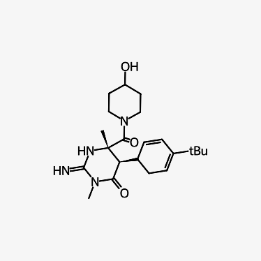 CN1C(=N)N[C@](C)(C(=O)N2CCC(O)CC2)[C@@H](C2C=CC(C(C)(C)C)=CC2)C1=O